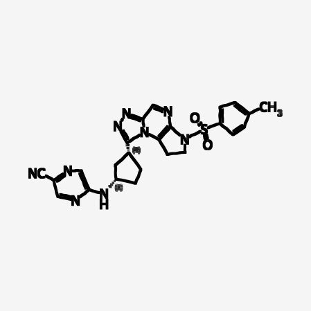 Cc1ccc(S(=O)(=O)N2CCc3c2ncc2nnc([C@@H]4CC[C@H](Nc5cnc(C#N)cn5)C4)n32)cc1